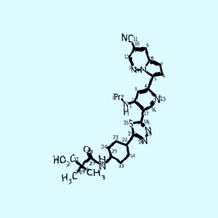 CC(C)Nc1cc(-c2ccc3cc(C#N)cnn23)ncc1-c1nnc(C2CCC(NC(=O)C(C)(C)C(=O)O)CC2)s1